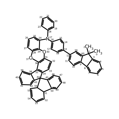 CC1(C)c2ccccc2-c2ccc(-c3ccc(N(c4ccccc4)c4cccc5c4Oc4ccc6c(c4O5)-c4ccccc4C64c5ccccc5C5C=CC=CC54)cc3)cc21